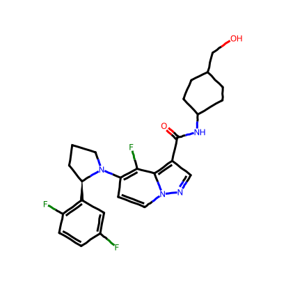 O=C(NC1CCC(CO)CC1)c1cnn2ccc(N3CCC[C@@H]3c3cc(F)ccc3F)c(F)c12